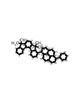 CC1(C)c2ccccc2-c2c1ccc1c2-c2cccc(-c3ccc4ccc5c(-c6ccccc6)ccc6ccc3c4c65)c2C1(C)C